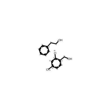 OCCc1ccccc1.OCc1ccc(Cl)cc1Cl